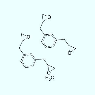 O.c1cc(CC2CO2)cc(CC2CO2)c1.c1cc(CC2CO2)cc(CC2CO2)c1